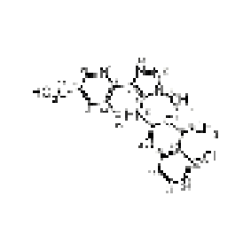 CC(OC(=O)Nc1c(-c2ncc(C(=O)O)cc2F)nnn1C)c1cccnc1Cl